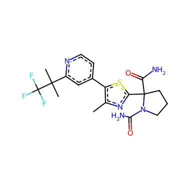 Cc1nc(C2(C(N)=O)CCCN2C(N)=O)sc1-c1ccnc(C(C)(C)C(F)(F)F)c1